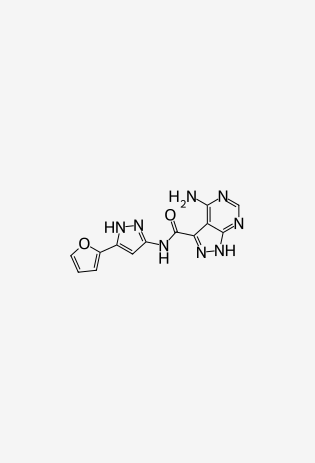 Nc1ncnc2[nH]nc(C(=O)Nc3cc(-c4ccco4)[nH]n3)c12